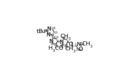 Cc1nc(COc2cc(C)n(-c3cc(-c4ccnc(C(C)(C)C)n4)ncc3C)c(=O)c2C)co1